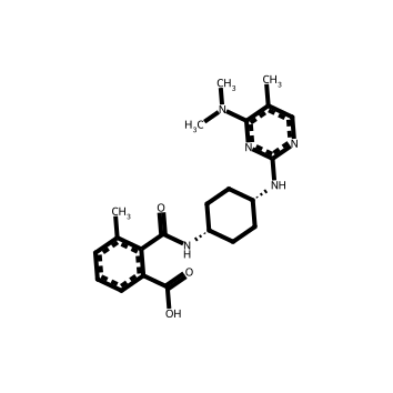 Cc1cnc(N[C@H]2CC[C@@H](NC(=O)c3c(C)cccc3C(=O)O)CC2)nc1N(C)C